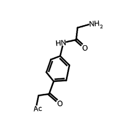 CC(=O)CC(=O)c1ccc(NC(=O)CN)cc1